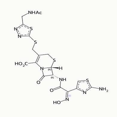 CC(=O)NCc1nnc(SCC2=C(C(=O)O)N3C(=O)[C@@H](NC(=O)/C(=N\O)c4csc(N)n4)[C@H]3SC2)s1